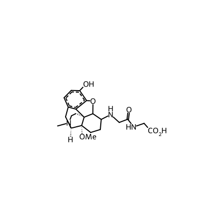 CO[C@@]12CCC(NCC(=O)NCC(=O)O)C3Oc4c(O)ccc5c4[C@@]31CCN(C)[C@@H]2C5